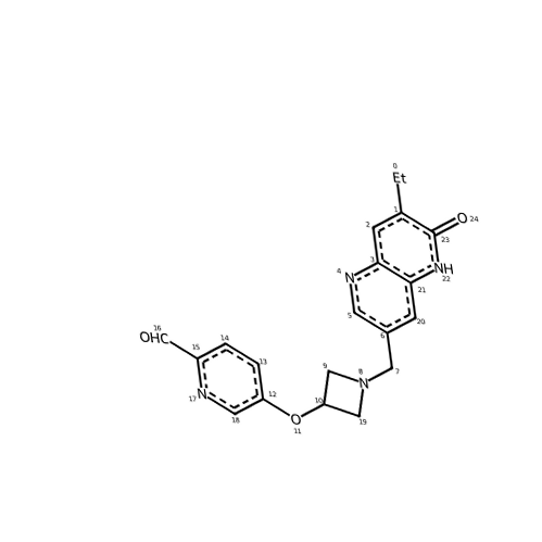 CCc1cc2ncc(CN3CC(Oc4ccc(C=O)nc4)C3)cc2[nH]c1=O